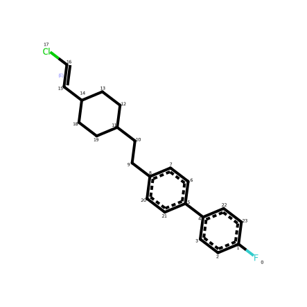 Fc1ccc(-c2ccc(CCC3CCC(/C=C/Cl)CC3)cc2)cc1